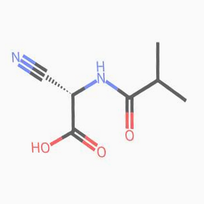 CC(C)C(=O)N[C@@H](C#N)C(=O)O